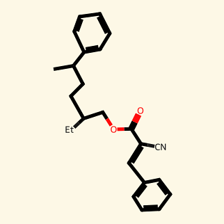 CCC(CCC(C)c1ccccc1)COC(=O)C(C#N)=Cc1ccccc1